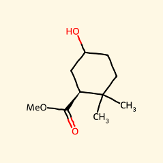 COC(=O)[C@H]1CC(O)CCC1(C)C